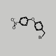 O=[N+]([O-])c1ccc(Oc2ccc(CBr)cc2)cc1